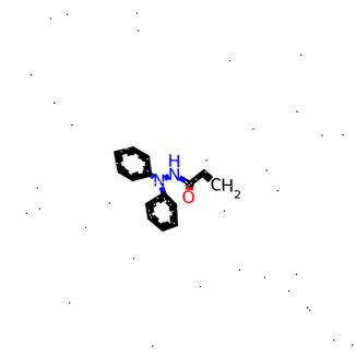 C=CC(=O)NN(c1ccccc1)c1ccccc1